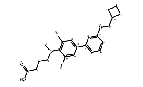 CN(CCCC(=O)O)c1c(F)cc(-c2cccc(OCC3CCC3)c2)cc1F